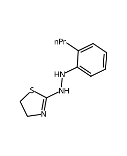 CCCc1ccccc1NNC1=NCCS1